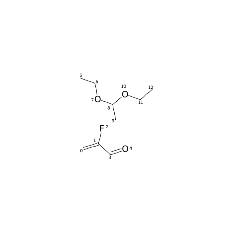 C=C(F)C=O.CCOC(C)OCC